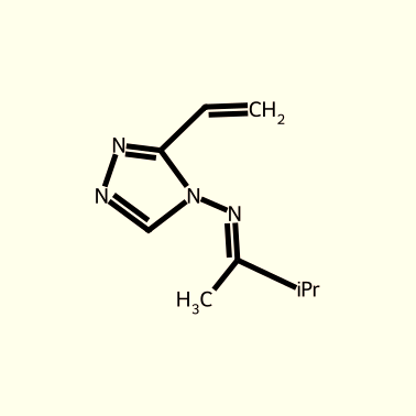 C=Cc1nncn1/N=C(\C)C(C)C